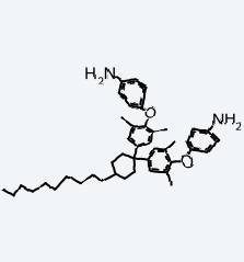 CCCCCCCCCCC1CCC(c2cc(C)c(Oc3ccc(N)cc3)c(C)c2)(c2cc(C)c(Oc3ccc(N)cc3)c(C)c2)CC1